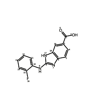 O=C(O)c1ccc2nc(Nc3ccccc3F)[nH]c2c1